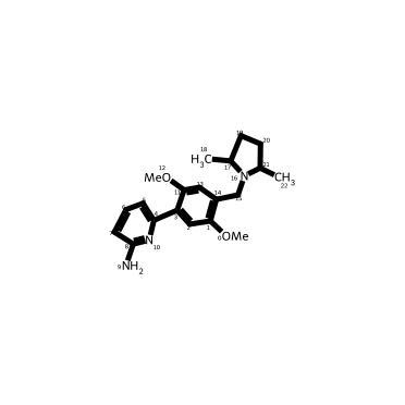 COc1cc(-c2cccc(N)n2)c(OC)cc1CN1C(C)CCC1C